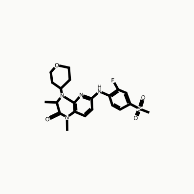 CC1C(=O)N(C)c2ccc(Nc3ccc(S(C)(=O)=O)cc3F)nc2N1C1CCOCC1